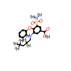 [2H]OC(=O)c1cc(N([2H])CC([2H])([2H])CC([2H])([2H])[2H])c(Oc2ccccc2)c(S(=O)(=O)N([2H])[2H])c1